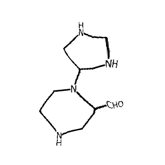 O=CC1CNCCN1C1CNCN1